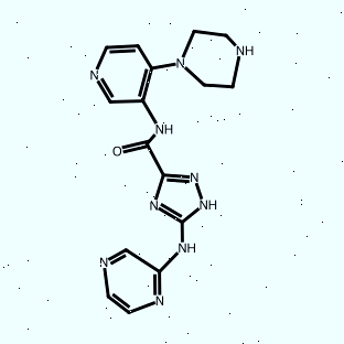 O=C(Nc1cnccc1N1CCNCC1)c1n[nH]c(Nc2cnccn2)n1